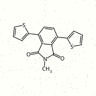 CN1C(=O)c2c(-c3cccs3)ccc(-c3cccs3)c2C1=O